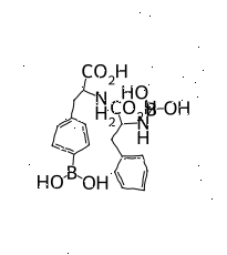 NC(Cc1ccc(B(O)O)cc1)C(=O)O.O=C(O)C(Cc1ccccc1)NB(O)O